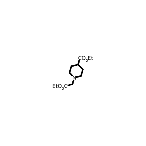 CCOC(=O)CN1CCC(C(=O)OCC)CC1